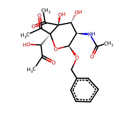 CC(=O)N[C@H]1[C@@H](OCc2ccccc2)O[C@](C(C)=O)(C(O)C(C)=O)[C@](O)(C(C)=O)[C@@H]1O